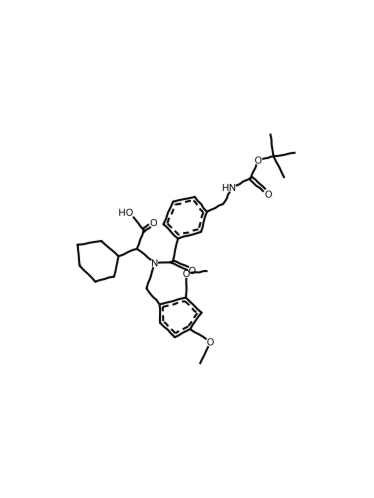 COc1ccc(CN(C(=O)c2cccc(CNC(=O)OC(C)(C)C)c2)C(C(=O)O)C2CCCCC2)c(OC)c1